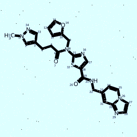 Cn1cc(CCC(=O)N(Cc2ccco2)c2ncc(C(=O)NCc3ccn4ccnc4c3)s2)cn1